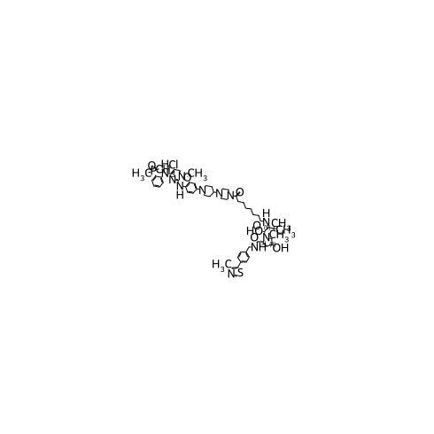 COc1cc(N2CCC(N3CCN(C(=O)CCCCCCC(=O)N[C@H](C(O)N4C[C@H](O)C[C@H]4C(=O)NCc4ccc(-c5scnc5C)cc4)C(C)(C)C)CC3)CC2)ccc1Nc1ncc(Cl)c(Nc2ccccc2P(C)(C)=O)n1